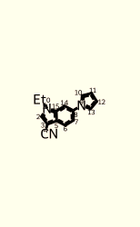 CCn1cc(C#N)c2ccc(-n3cccc3)cc21